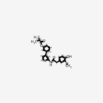 COc1cc(CC(=O)Nc2cc(-c3cccc(OC(=O)C(C)C)c3)ccn2)ccc1O